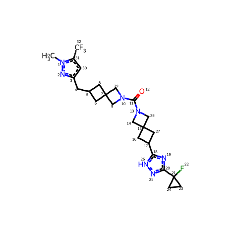 Cn1nc(CC2CC3(C2)CN(C(=O)N2CC4(CC(c5nc(C6(F)CC6)n[nH]5)C4)C2)C3)cc1C(F)(F)F